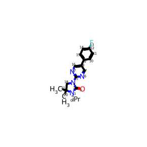 CC(C)N1C(=O)N(c2ncc(-c3ccc(F)cc3)cn2)CC1(C)C